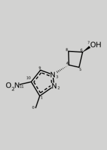 Cc1nn([C@H]2C[C@H](O)C2)cc1[N+](=O)[O-]